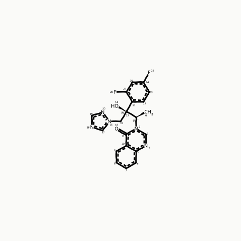 C[C@@H](n1cnc2ccccc2c1=O)[C@](O)(Cn1cncn1)c1ccc(F)cc1F